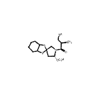 CC(CS)C(=O)N1CC2(C[C@H]1C(=O)O)SC1CCCCC1S2